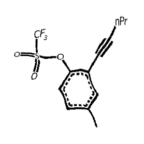 CCCC#Cc1cc(C)ccc1OS(=O)(=O)C(F)(F)F